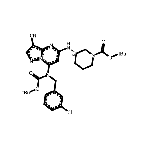 CC(C)(C)OC(=O)N1CCC[C@H](Nc2cc(N(Cc3cccc(Cl)c3)C(=O)OC(C)(C)C)n3ncc(C#N)c3n2)C1